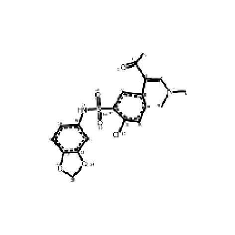 CC(=O)/C(=C/N(C)C)c1ccc(Cl)c(S(=O)(=O)Nc2ccc3c(c2)OCO3)c1